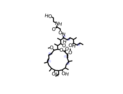 C/C=C/C(O)C(C)/C=C/C(=N/OCC(=O)NCCO)C(C)C(O)C(C)C1OC(=O)/C(OC)=C/C(C)=C/C(C)C(O)C(CC)C(O)C(C)C/C(C)=C/C=C/C1OC